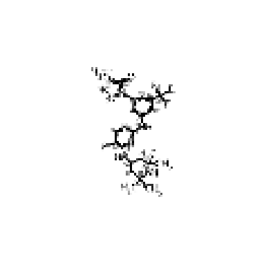 Cn1nnn(-c2cc(Nc3ncc(F)c(NC4CC(C)(C)NC(C)(C)C4)n3)cc(C(F)(F)F)c2)c1=O